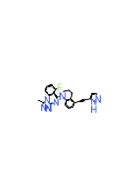 Cc1nnc2nc(N3CCCc4c(C#Cc5ccn[nH]5)cccc43)c3c(F)cccc3n12